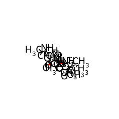 CC(C)[C@@H](C)[C@@]1(C)CC[C@]2(C)[C@H]3CC[C@H]4[C@]5(C)COC[C@]4(C3=CC[C@@]2(C)[C@@H]1C(=O)O)[C@H](C)[C@@H](n1nccc1C(N)=O)[C@@H]5OC[C@](C)(N)C(C)C